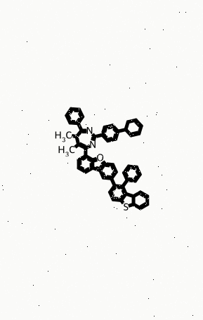 CC1=C(c2cccc3c2oc2ccc(-c4ccc5c(c4-c4ccccc4)C4C=CC=CC4S5)cc23)N=C(c2ccc(C3C=CC=CC3)cc2)N=C(c2ccccc2)C1C